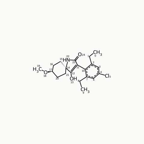 CCc1cc(Cl)cc(CC)c1C1=C(O)[C@]2(CC[C@H](OC)CC2)NC1=O